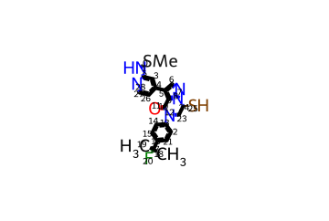 CSNc1cc(-c2cnn3c2C(=O)N(c2ccc(C(C)(C)F)cc2)C[C@@H]3S)ccn1